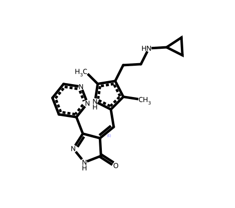 Cc1[nH]c(/C=C2/C(=O)NN=C2c2cccnn2)c(C)c1CCNC1CC1